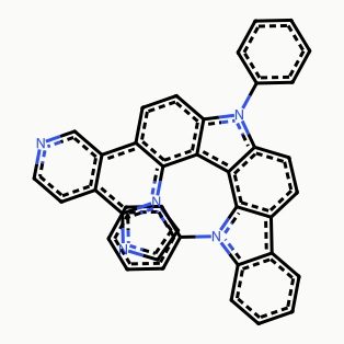 c1ccc(-n2c3ccc4c5ccccc5n(-c5ccccc5)c4c3c3c2ccc2c4cnccc4c4nccn4c23)cc1